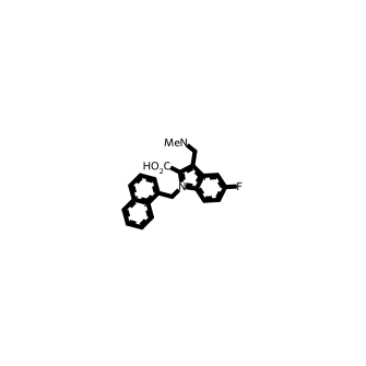 CNCc1c(C(=O)O)n(Cc2cccc3ccccc23)c2ccc(F)cc12